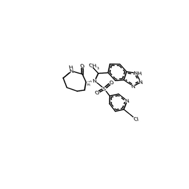 CC(c1ccc2[nH]nnc2c1)N([C@@H]1CCCCNC1=O)S(=O)(=O)c1ccc(Cl)nc1